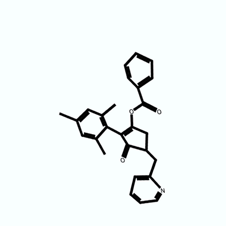 Cc1cc(C)c(C2=C(OC(=O)c3ccccc3)CC(Cc3ccccn3)C2=O)c(C)c1